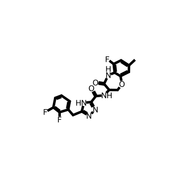 Cc1cc(F)c2c(c1)OCC(NC(=O)c1nnc(Cc3cccc(F)c3F)[nH]1)C(=O)N2